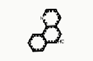 Cl.c1ccc2c(c1)ccc1cccnc12